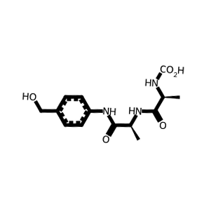 C[C@H](NC(=O)O)C(=O)N[C@@H](C)C(=O)Nc1ccc(CO)cc1